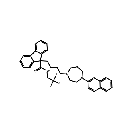 O=C(NCC(F)(F)F)C1(CCCCN2CCCN(c3ccc4ccccc4n3)CC2)c2ccccc2-c2ccccc21